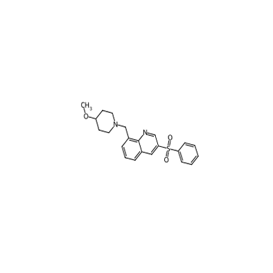 COC1CCN(Cc2cccc3cc(S(=O)(=O)c4ccccc4)cnc23)CC1